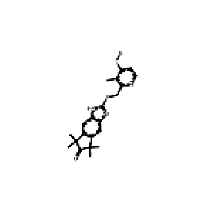 CCOc1ccnc(CSc2nc3cc4c(cc3[nH]2)C(C)(C)C(=O)C4(C)C)c1C